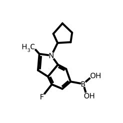 Cc1cc2c(F)cc(B(O)O)cc2n1C1CCCC1